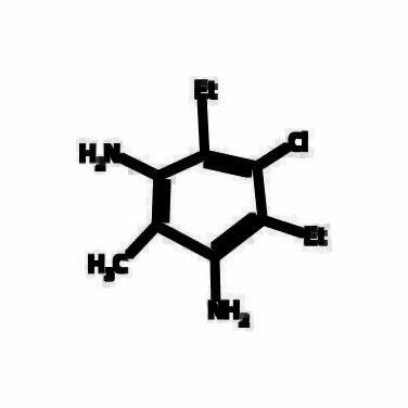 CCc1c(N)c(C)c(N)c(CC)c1Cl